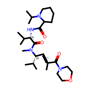 C/C(=C\[C@H](C(C)C)N(C)C(=O)[C@@H](NC(=O)C1CCCCN1C(C)C)C(C)C)C(=O)N1CCOCC1